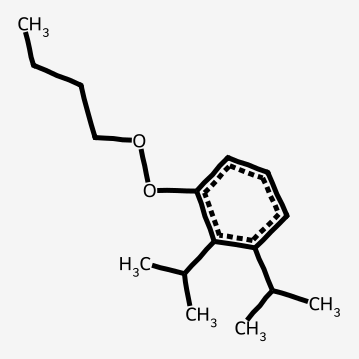 CCCCOOc1cccc(C(C)C)c1C(C)C